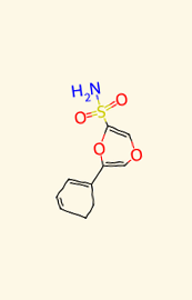 NS(=O)(=O)C1=COC=C(C2=CC=CCC2)O1